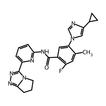 Cc1cc(F)c(C(=O)Nc2cccc(-c3nnc4n3CCC4)n2)cc1-n1cnc(C2CC2)c1